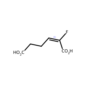 O=C(O)CC/C=C(/F)C(=O)O